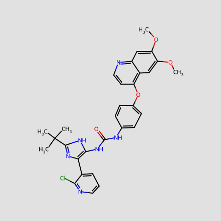 COc1cc2nccc(Oc3ccc(NC(=O)Nc4[nH]c(C(C)(C)C)nc4-c4cccnc4Cl)cc3)c2cc1OC